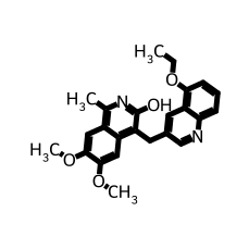 CCOc1cccc2ncc(Cc3c(O)nc(C)c4cc(OC)c(OC)cc34)cc12